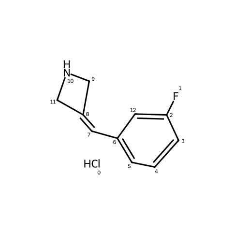 Cl.Fc1cccc(C=C2CNC2)c1